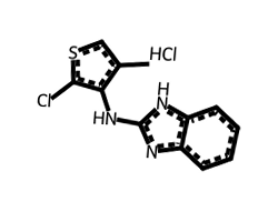 Cc1csc(Cl)c1Nc1nc2ccccc2[nH]1.Cl